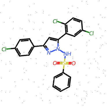 O=S(=O)(Nn1nc(-c2ccc(Cl)cc2)cc1-c1cc(Cl)ccc1Cl)c1ccccc1